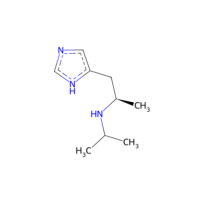 CC(C)N[C@H](C)Cc1cnc[nH]1